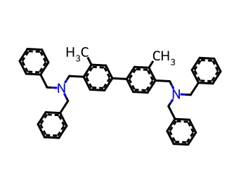 Cc1cc(-c2ccc(CN(Cc3ccccc3)Cc3ccccc3)c(C)c2)ccc1CN(Cc1ccccc1)Cc1ccccc1